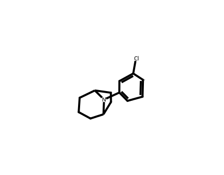 Clc1[c]ccc(N2C3CCCC2CC3)c1